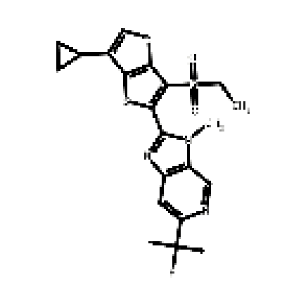 CCS(=O)(=O)c1c(-c2nc3cc(C(F)(F)F)ncc3n2C)sc2c(C3CC3)csc12